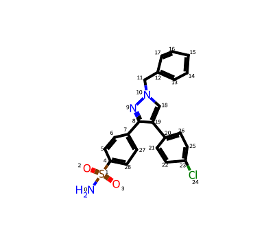 NS(=O)(=O)c1ccc(-c2nn(Cc3ccccc3)cc2-c2ccc(Cl)cc2)cc1